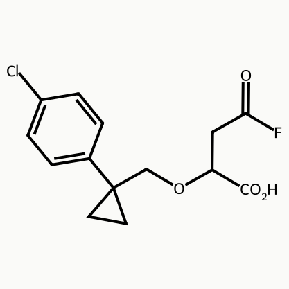 O=C(F)CC(OCC1(c2ccc(Cl)cc2)CC1)C(=O)O